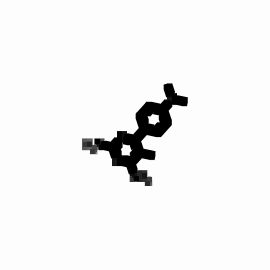 Cc1c(N)nc(N)nc1-c1ccc(N(C)C)cc1